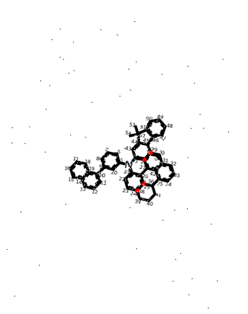 CC1C=C(N(c2cccc(-c3cccc4ccccc34)c2)c2ccccc2-c2cccc3cccc(C4CCCCC4)c23)C=C2C1c1ccccc1C2(C)C